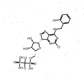 O=P(O)(O)C(Cl)(Cl)P(=O)(O)OC[C@H]1O[C@@H](n2nnc3c(NCc4ccccc4Cl)nc(Cl)nc32)[C@H](O)[C@@H]1O